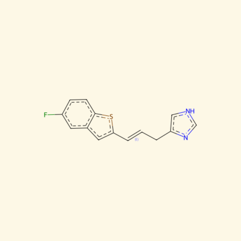 Fc1ccc2sc(/C=C/Cc3c[nH]cn3)cc2c1